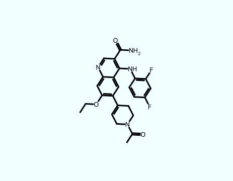 CCOc1cc2ncc(C(N)=O)c(Nc3ccc(F)cc3F)c2cc1C1=CCN(C(C)=O)CC1